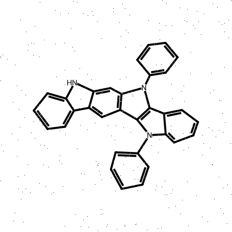 c1ccc(-n2c3ccccc3c3c2c2cc4c(cc2n3-c2ccccc2)[nH]c2ccccc24)cc1